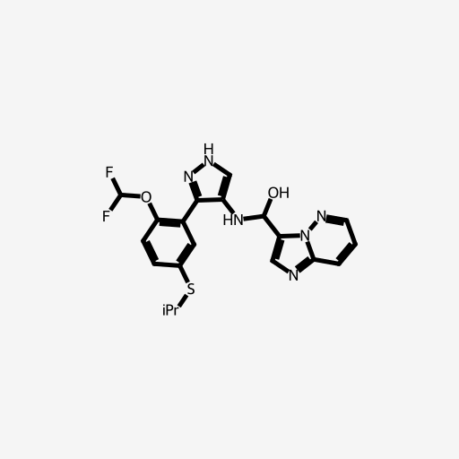 CC(C)Sc1ccc(OC(F)F)c(-c2n[nH]cc2NC(O)c2cnc3cccnn23)c1